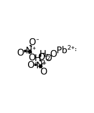 O.O.O=[N+]([O-])[O-].O=[N+]([O-])[O-].[Pb+2]